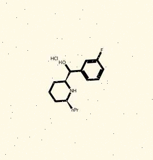 CCC[C@H]1CCC[C@@H](C(O)c2cccc(F)c2)N1.Cl